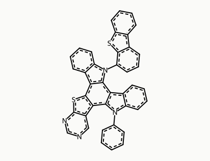 c1ccc(-n2c3ccccc3c3c4c(c5ccccc5n4-c4cccc5c4sc4ccccc45)c4sc5ncncc5c4c32)cc1